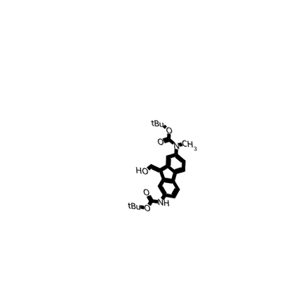 CN(C(=O)OC(C)(C)C)c1ccc2c(c1)/C(=C/O)c1cc(NC(=O)OC(C)(C)C)ccc1-2